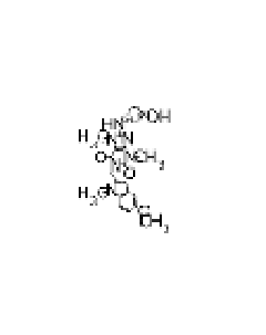 COc1ccc2c(c1)cc(Cn1c(=O)c3c(nc(N[C@H]4CC[C@@H](O)C4)n3C)n(C)c1=O)n2C